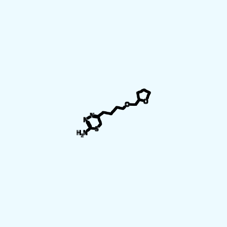 NC1=NN=C(CCCCOCC2CCCO2)CS1